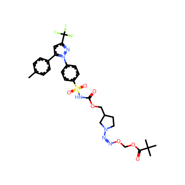 Cc1ccc(-c2cc(C(F)(F)F)nn2-c2ccc(S(=O)(=O)NC(=O)OCC3CCN(/N=N\OCOC(=O)C(C)(C)C)C3)cc2)cc1